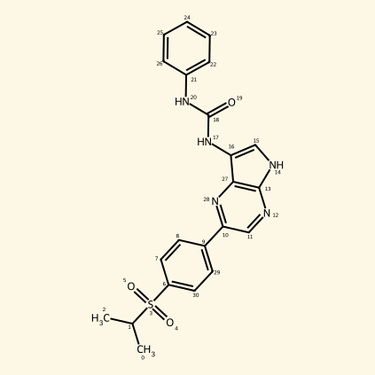 CC(C)S(=O)(=O)c1ccc(-c2cnc3[nH]cc(NC(=O)Nc4ccccc4)c3n2)cc1